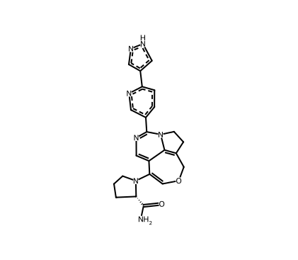 NC(=O)[C@@H]1CCCN1C1=COCC2=C3C1=CN=C(c1ccc(-c4cn[nH]c4)nc1)N3CC2